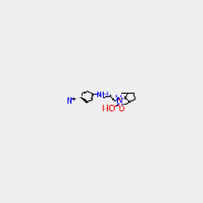 CN(C(=O)O)C1C2CCC1CN(CCCNc1ccc(C#N)cc1)C2